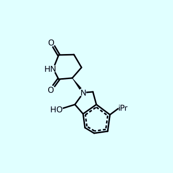 CC(C)c1cccc2c1CN([C@@H]1CCC(=O)NC1=O)C2O